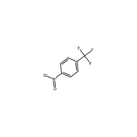 O=[N+]([O-])c1c[c]c(C(F)(F)F)cc1